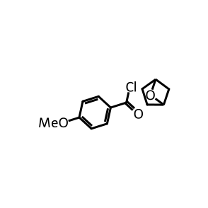 C1CC2CC1O2.COc1ccc(C(=O)Cl)cc1